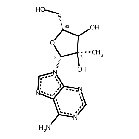 C[C@@]1(O)C(O)[C@@H](CO)O[C@H]1n1cnc2c(N)ncnc21